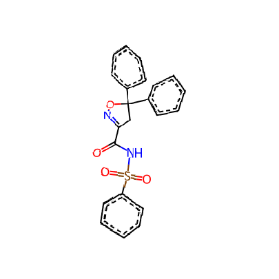 O=C(NS(=O)(=O)c1ccccc1)C1=NOC(c2ccccc2)(c2ccccc2)C1